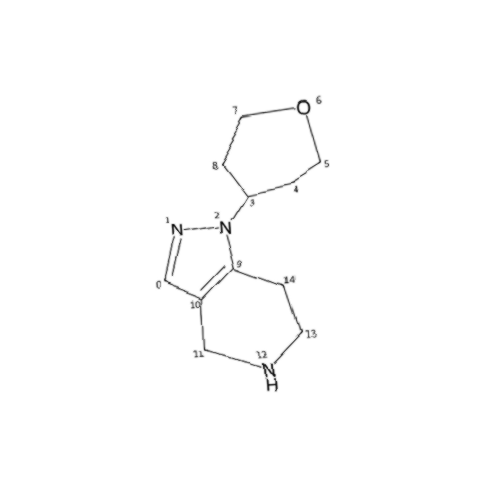 c1nn(C2CCOCC2)c2c1CNCC2